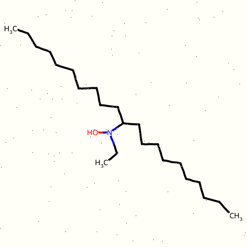 CCCCCCCCCCC(CCCCCCCCCC)N(O)CC